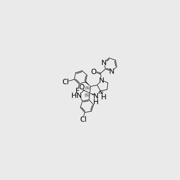 O=C(c1ncccn1)N1CC[C@@H]2N[C@@]3(C(=O)Nc4cc(Cl)ccc43)[C@@H](c3cccc(Cl)c3F)C21